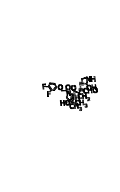 C=C(C(=O)[C@@H]1[C@H]2C(C)(C)[C@@]2(O)CN1C(=O)COc1ccc(F)c(F)c1)[C@H](C=O)C[C@@H]1CCNC1O